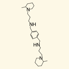 CC1CCCCN1CCCNCc1ccc(CNCCCN2CCCCC2C)cc1